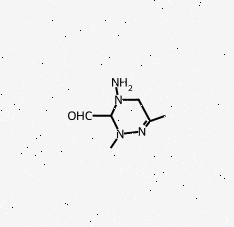 CC1=NN(C)C(C=O)N(N)C1